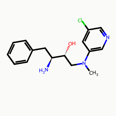 CN(C[C@@H](O)[C@@H](N)Cc1ccccc1)c1cncc(Cl)c1